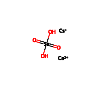 O=[Se](=O)(O)O.[Ca+2].[Cs+]